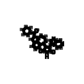 O=C1NC(=O)C(c2cnc3cnccn23)=C1C1=NC=CN2c3c(cccc31)CC2C(=O)N1CCCCC1